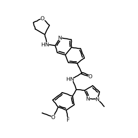 COc1ccc(C(NC(=O)c2ccc3cnc(NC4CCOC4)cc3c2)c2ccn(C)n2)cc1F